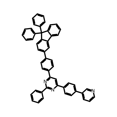 c1ccc(-c2nc(-c3ccc(-c4cccnc4)cc3)cc(-c3ccc(-c4ccc5c(c4)-c4ccccc4C5(c4ccccc4)c4ccccc4)cc3)n2)cc1